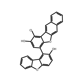 Oc1ccc2oc3ccccc3c2c1-c1cc(O)c(Cl)c2c1oc1cc3ccccc3cc12